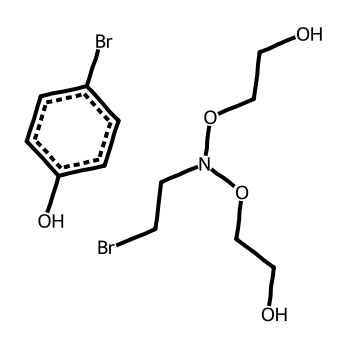 OCCON(CCBr)OCCO.Oc1ccc(Br)cc1